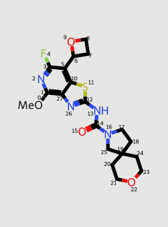 COc1nc(F)c(C2CCO2)c2sc(NC(=O)N3CCC4(CCOCC4)C3)nc12